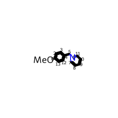 COc1ccc(CN2C=CC=CC2)cc1